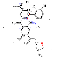 C=C\C=C(C(=C)C1=CCC[C@H](/C(=C\C)CC)C1)/C(=C\C(C)C(=C)C[C@H]1C[C@@H](C)CO1)C(=N\C)/N[C@H](C)c1cccc(C#N)c1C